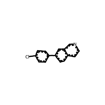 Clc1ccc(-c2ccc3ccncc3c2)cc1